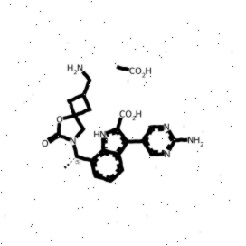 CC(=O)O.C[C@@H](c1cccc2c(-c3cnc(N)nc3)c(C(=O)O)[nH]c12)N1CC2(CC(CN)C2)OC1=O